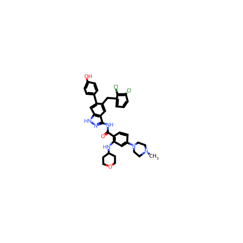 CN1CCN(c2ccc(C(=O)Nc3n[nH]c4cc(-c5ccc(O)cc5)c(Cc5cccc(Cl)c5Cl)cc34)c(NC3CCOCC3)c2)CC1